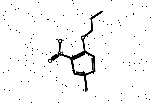 C[CH]COc1ccc(F)cc1[N+](=O)[O-]